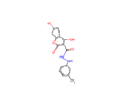 O=C(NNc1cccc(C(F)(F)F)c1)c1c(O)c2ccc(O)cc2oc1=O